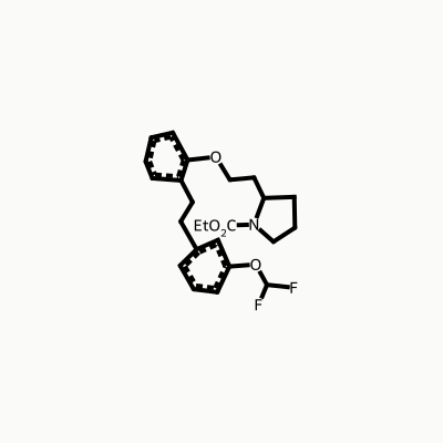 CCOC(=O)N1CCCC1CCOc1ccccc1CCc1cccc(OC(F)F)c1